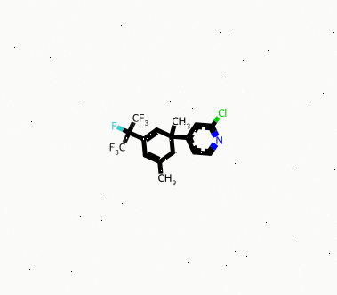 CC1=CC(C(F)(C(F)(F)F)C(F)(F)F)=CC(C)(c2ccnc(Cl)c2)[CH]1